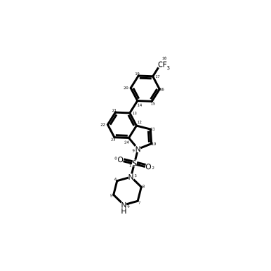 O=S(=O)(N1CCNCC1)n1ccc2c(-c3ccc(C(F)(F)F)cc3)cccc21